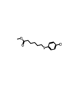 COC(=O)CCCCCSc1ccc(Cl)cc1